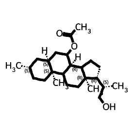 CC(=O)OC1C[C@@H]2C[C@@H](C)CC[C@]2(C)C2CC[C@@]3(C)C(CC[C@@H]3[C@H](C)CO)[C@H]12